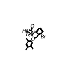 Cc1cc(C)c(OCc2c(Br)cccc2-n2nn[nH]c2=O)cc1C